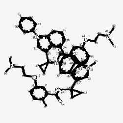 Cc1ccc(OCCN(C)C)cc1C(=O)NC1(c2cn(C)c3cc(-c4cccc5c4c(C4(NC(=O)c6cc(OCCN(C)C)ccc6C)CC4)cn5-c4ccccc4)ccc23)CC1